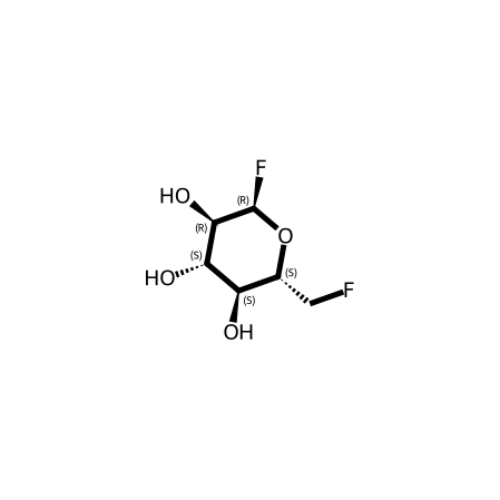 O[C@@H]1[C@@H](O)[C@@H](F)O[C@H](CF)[C@H]1O